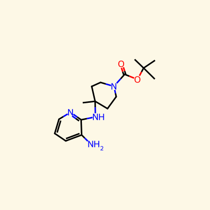 CC1(Nc2ncccc2N)CCN(C(=O)OC(C)(C)C)CC1